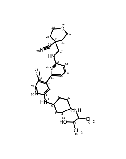 C[C@H](NC1CCC(Nc2cc(-c3cccc(NCC4(C#N)CCOCC4)n3)c(Cl)cn2)CC1)[C@@H](C)O